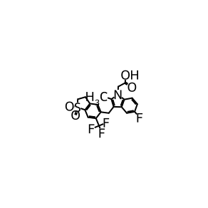 Cc1c(Cc2cc3c(cc2C(F)(F)F)S(=O)(=O)CC3)c2cc(F)ccc2n1CC(=O)O